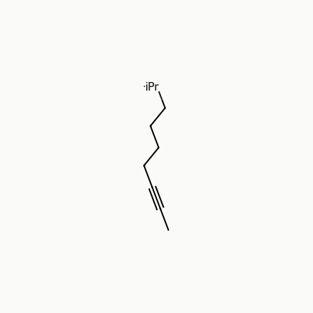 CC#CCCCC[C](C)C